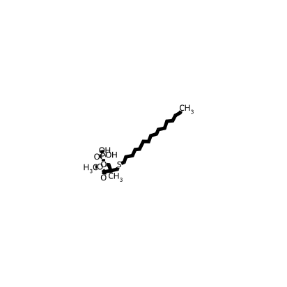 CCCCCCCCCCCCCCCCSCC(C)(COP(=O)(O)O)C(=O)OC